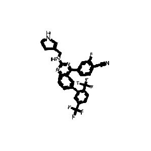 N#Cc1ccc(-c2nc(NCC3CCNC3)nc3ccc(-c4cc(C(F)(F)F)ccc4C(F)(F)F)cc23)cc1F